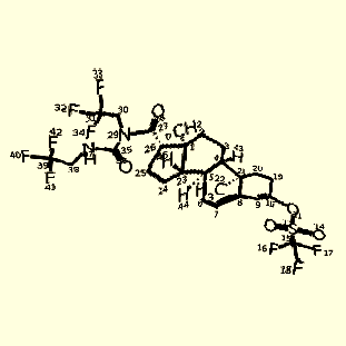 C[C@]12CC[C@H]3[C@@H](CC=C4C=C(OS(=O)(=O)C(F)(F)F)CC[C@@]43C)[C@@H]1CC[C@@H]2C(=O)N(CC(F)(F)F)C(=O)NCC(F)(F)F